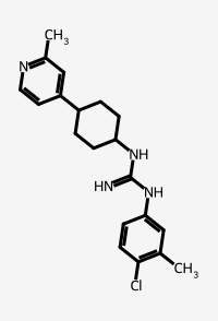 Cc1cc(C2CCC(NC(=N)Nc3ccc(Cl)c(C)c3)CC2)ccn1